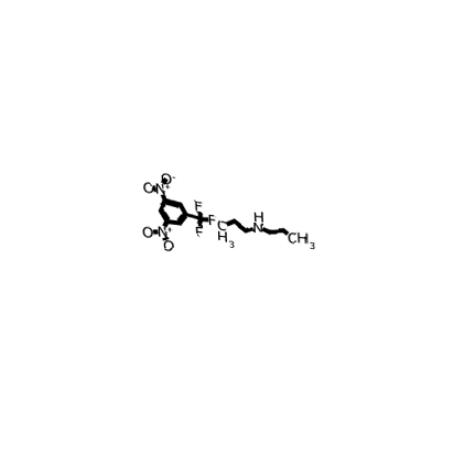 CCCNCCC.O=[N+]([O-])c1cc([N+](=O)[O-])cc(C(F)(F)F)c1